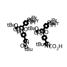 CC(C)[Si](Oc1ccc(C(CNC(=O)OC(C)(C)C)C(=O)Nc2ccc(-c3cn(C(=O)O)nc3C(C)(C)C)cc2)cc1)(C(C)C)C(C)C.CC(C)[Si](Oc1ccc(C(CNC(=O)OC(C)(C)C)C(=O)Nc2ccc(-c3cnn(C(=O)OC(C)(C)C)c3)cc2)cc1)(C(C)C)C(C)C